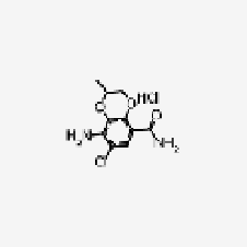 CC1COc2c(C(N)=O)cc(Cl)c(N)c2O1.Cl